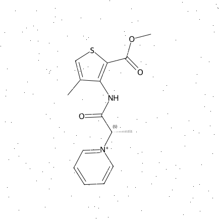 COC(=O)c1scc(C)c1NC(=O)[C@H](C)[n+]1ccccc1